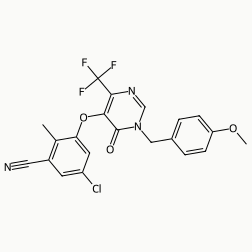 COc1ccc(Cn2cnc(C(F)(F)F)c(Oc3cc(Cl)cc(C#N)c3C)c2=O)cc1